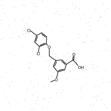 COc1cc(COc2ccc(Cl)cc2Cl)cc(C(=O)O)c1